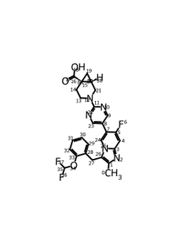 Cc1nc2cc(F)c(-c3cnc(N4CC[C@]5(C(=O)O)C[C@@H]5C4)nc3)cn2c1Cc1ccccc1OC(F)F